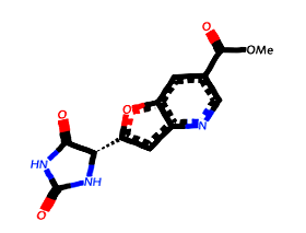 COC(=O)c1cnc2cc([C@@H]3NC(=O)NC3=O)oc2c1